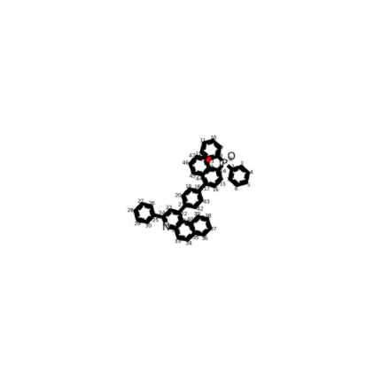 O=P(c1ccccc1)(c1ccccc1)c1ccc(-c2ccc(-c3cc(-c4ccccc4)nc4ccc5ccccc5c34)cc2)c2ccccc12